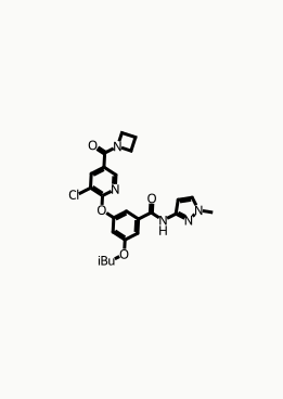 CCC(C)Oc1cc(Oc2ncc(C(=O)N3CCC3)cc2Cl)cc(C(=O)Nc2ccn(C)n2)c1